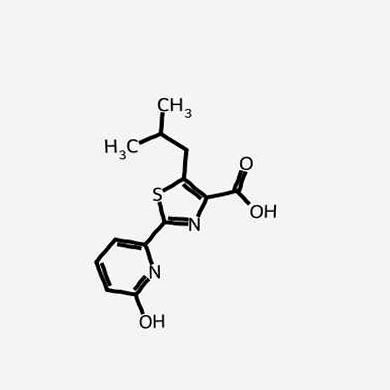 CC(C)Cc1sc(-c2cccc(O)n2)nc1C(=O)O